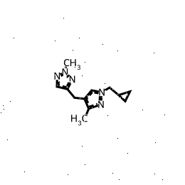 Cc1nn(CC2CC2)cc1Cc1cnn(C)n1